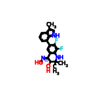 Cc1c[nH]c2c(-c3cc4c(c(F)c3F)NC(C)(C)C(O)/C4=N\O)cccc12